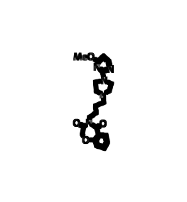 COc1ccnc(N2CCN(CCCCN3C(=O)COc4ccccc4C3=O)CC2)n1